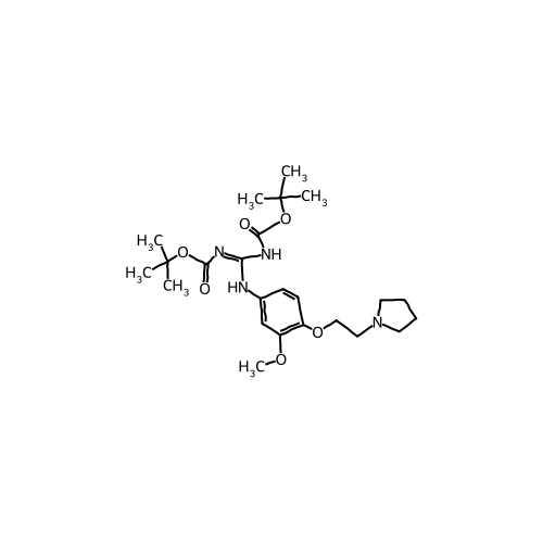 COc1cc(N/C(=N\C(=O)OC(C)(C)C)NC(=O)OC(C)(C)C)ccc1OCCN1CCCC1